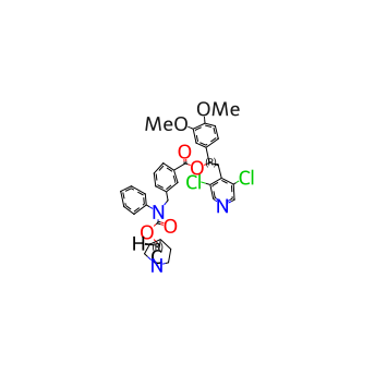 COc1ccc([C@@H](Cc2c(Cl)cncc2Cl)OC(=O)c2cccc(CN(C(=O)O[C@H]3CN4CCC3CC4)c3ccccc3)c2)cc1OC